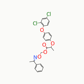 CC(=NOCOC(=O)C(C)Oc1ccc(Oc2ccc(Cl)cc2Cl)cc1)c1ccccc1